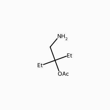 CCC(CC)(CN)OC(C)=O